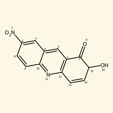 O=C1c2cc3cc([N+](=O)[O-])ccc3nc2C=CC1O